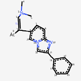 CC(=O)/C(=C/N(C)C)c1ccc2nc(-c3ccccc3)cn2c1